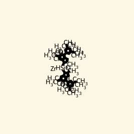 COc1c(C(C)(C)C)cc2c(c1-c1cc(C(C)(C)C)cc(C(C)(C)C)c1)C=C(C)C2C[SiH](Cl)CC1C(C)=Cc2c1cc(C(C)(C)C)c(OC)c2-c1cc(C(C)(C)C)cc(C(C)(C)C)c1.[Zr]